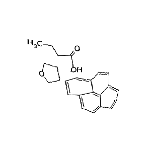 C1CCOC1.CCCC(=O)O.c1cc2ccc3cccc4ccc(c1)c2c34